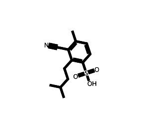 Cc1ccc(S(=O)(=O)O)c(CCC(C)C)c1C#N